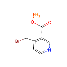 O=C(OP)c1cnccc1CBr